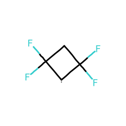 FC1(F)[CH]C(F)(F)C1